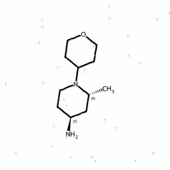 C[C@@H]1C[C@@H](N)CCN1C1CCOCC1